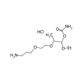 CCOC(OC(N)=O)C(C)OCCOCCCN.Cl